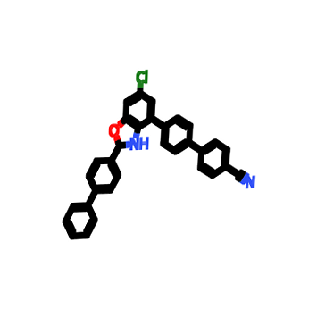 N#Cc1ccc(-c2ccc(-c3cc(Cl)cc4c3NC(c3ccc(-c5ccccc5)cc3)O4)cc2)cc1